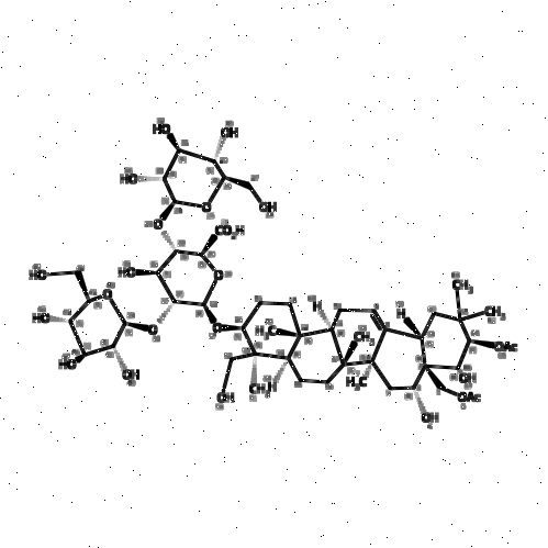 CC(=O)OC[C@@]12[C@H](O)C[C@]3(C)C(=CC[C@@H]4[C@@]5(C)CC[C@H](O[C@@H]6O[C@H](C(=O)O)[C@@H](O[C@@H]7O[C@H](CO)[C@@H](O)[C@H](O)[C@H]7O)[C@H](O)[C@H]6O[C@@H]6O[C@H](CO)[C@@H](O)[C@H](O)[C@H]6O)[C@](C)(CO)[C@@H]5CC[C@]43C)[C@@H]1CC(C)(C)[C@@H](OC(C)=O)[C@@H]2O